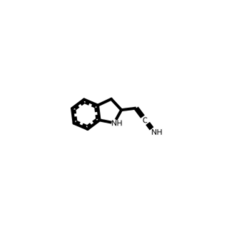 N=C=CC1Cc2ccccc2N1